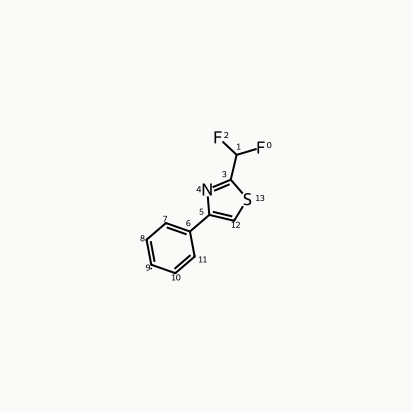 FC(F)c1nc(-c2cc[c]cc2)cs1